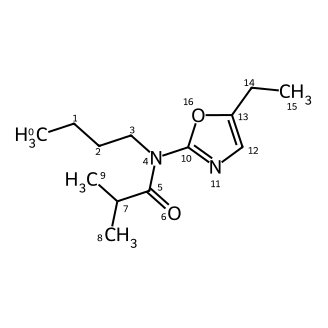 CCCCN(C(=O)C(C)C)c1ncc(CC)o1